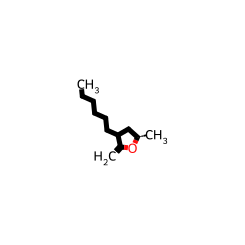 C=C1O[C@@H](C)CC1CCCCCC